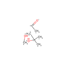 CC(C)(C)O.CC=O.CO